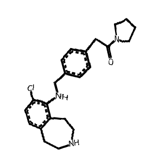 O=C(Cc1ccc(CNc2c(Cl)ccc3c2CCNCC3)cc1)N1CCCC1